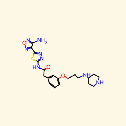 Nc1nonc1-c1nnc(NC(=O)Cc2cccc(OCCCNC3CCNCC3)c2)s1